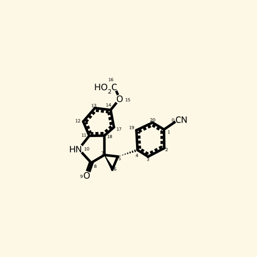 N#Cc1ccc([C@@H]2C[C@]23C(=O)Nc2ccc(OC(=O)O)cc23)cc1